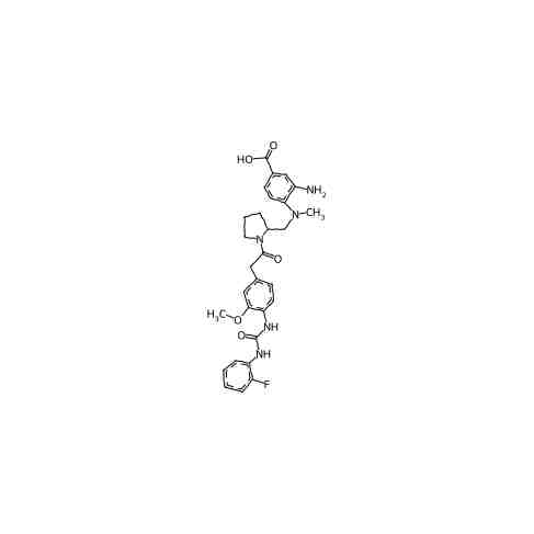 COc1cc(CC(=O)N2CCCC2CN(C)c2ccc(C(=O)O)cc2N)ccc1NC(=O)Nc1ccccc1F